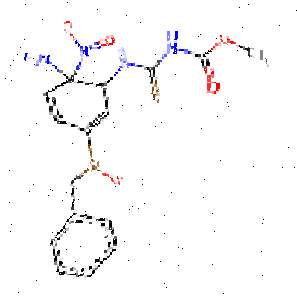 COC(=O)NC(=S)NC1C=C([S+]([O-])Cc2ccccc2)C=CC1(N)[N+](=O)[O-]